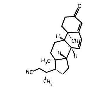 C[C@H](CC#N)[C@H]1CC[C@H]2[C@@H]3C=CC4=CC(=O)CC[C@]4(C)[C@H]3CC[C@]12C